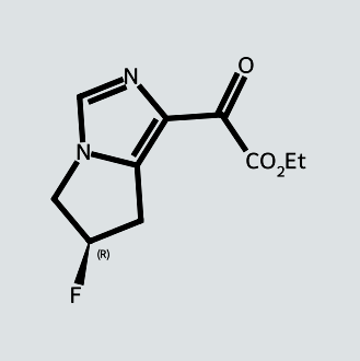 CCOC(=O)C(=O)c1ncn2c1C[C@@H](F)C2